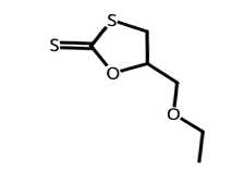 CCOCC1CSC(=S)O1